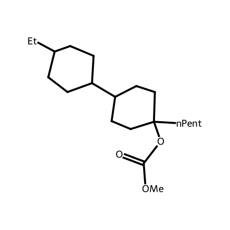 CCCCCC1(OC(=O)OC)CCC(C2CCC(CC)CC2)CC1